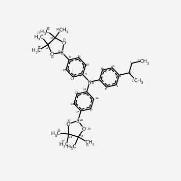 CCC(C)c1ccc(N(c2ccc(B3OC(C)(C)C(C)(C)O3)cc2)c2ccc(B3OC(C)(C)C(C)(C)O3)cc2)cc1